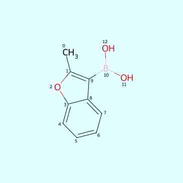 Cc1oc2ccccc2c1B(O)O